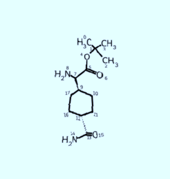 CC(C)(C)OC(=O)C(N)[C@H]1CC[C@H](C(N)=O)CC1